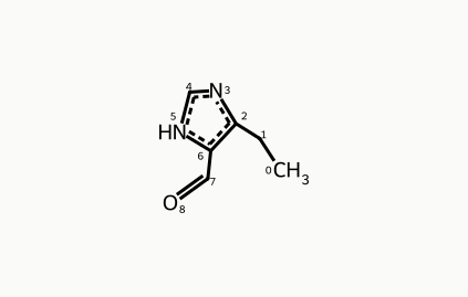 CCc1nc[nH]c1C=O